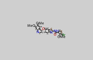 COc1cc2nccc(Oc3ccc4nc(NC(=O)c5csc(Br)c5OC)sc4c3)c2cc1OC